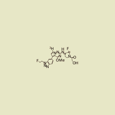 [2H]c1cc(-c2ccc3nnn(CCF)c3c2)c2c(OC)nc(N[C@H]3CCN(C(=O)CO)C[C@H]3F)nn12